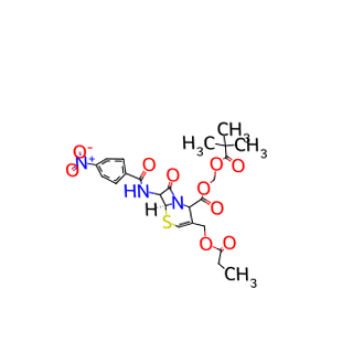 CCC(=O)OCC1=CS[C@H]2C(NC(=O)c3ccc([N+](=O)[O-])cc3)C(=O)N2C1C(=O)OCOC(=O)C(C)(C)C